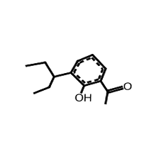 CCC(CC)c1cccc(C(C)=O)c1O